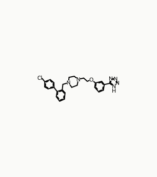 Clc1ccc(-c2ccccc2CN2CCN(CCOc3cccc(-c4nnn[nH]4)c3)CC2)cc1